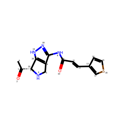 CC(=O)[C@H]1NCc2c(NC(=O)C=Cc3ccsc3)n[nH]c21